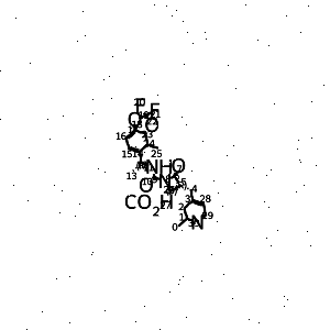 CC1CC(C[C@H]2C(=O)N(C(=O)N[C@H](C)C3=CC=C4OC(F)(F)OC4C3C)[C@@H]2C(=O)O)=CC=N1